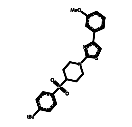 COc1cccc(-c2csc(N3CCC(S(=O)(=O)c4ccc(C(C)(C)C)cc4)CC3)n2)c1